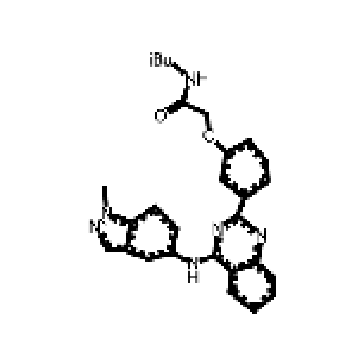 CCC(C)NC(=O)COc1cccc(-c2nc(Nc3ccc4c(cnn4C)c3)c3ccccc3n2)c1